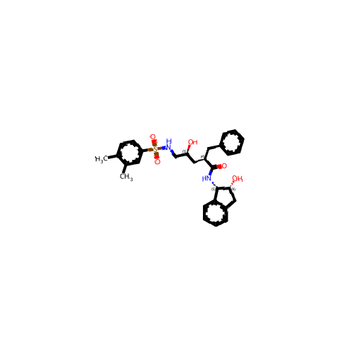 Cc1ccc(S(=O)(=O)NC[C@@H](O)C[C@@H](Cc2ccccc2)C(=O)N[C@H]2c3ccccc3C[C@H]2O)cc1C